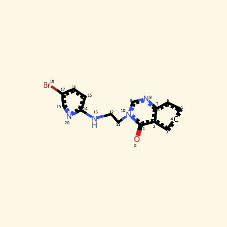 O=c1c2ccccc2ncn1CCNc1ccc(Br)cn1